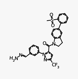 CS(=O)(=O)c1ccccc1-c1ccc2c(c1)CCN2C(=O)c1cc(C(F)(F)F)nn1-c1cccc(C=NN)c1